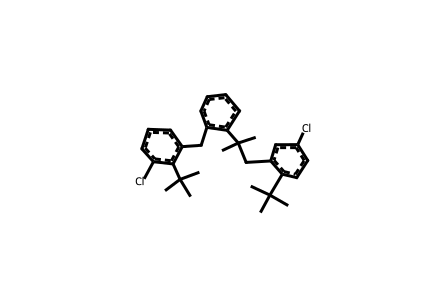 CC(C)(C)c1ccc(Cl)cc1CC(C)(C)c1ccccc1Cc1cccc(Cl)c1C(C)(C)C